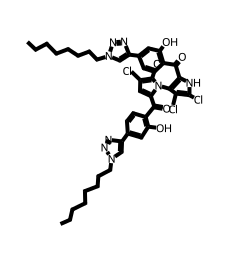 CCCCCCCCn1cc(-c2ccc(C(=O)c3[nH]c(Cl)c(Cl)c3-n3c(C(=O)c4ccc(-c5cn(CCCCCCCC)nn5)cc4O)cc(Cl)c3Cl)c(O)c2)nn1